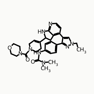 CCn1cc(-c2ccnc3c2CC(C2=CCN(C(=O)N4CCOCC4)CC2)N3)c(-c2ccc(NC(=O)N(C)C)cc2)n1